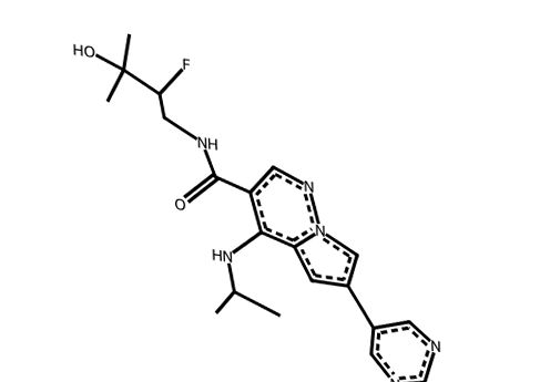 CC(C)Nc1c(C(=O)NCC(F)C(C)(C)O)cnn2cc(-c3cnc(N)nc3)cc12